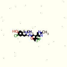 Cc1ncc([C@H](CC(=O)NC[C@H](Cc2ccc(O)c(Cl)c2)N(C)C)C2(C(F)(F)F)CC2)cn1